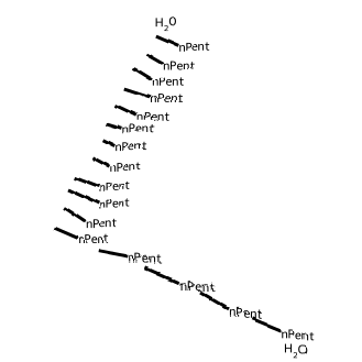 CCCCCC.CCCCCC.CCCCCC.CCCCCC.CCCCCC.CCCCCC.CCCCCC.CCCCCC.CCCCCC.CCCCCC.CCCCCC.CCCCCC.CCCCCC.CCCCCC.CCCCCC.CCCCCC.O.O